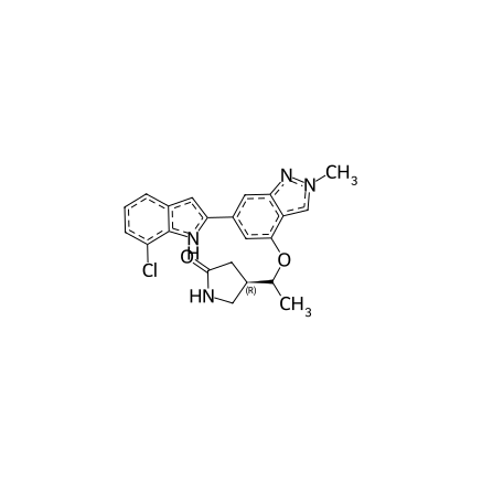 CC(Oc1cc(-c2cc3cccc(Cl)c3[nH]2)cc2nn(C)cc12)[C@H]1CNC(=O)C1